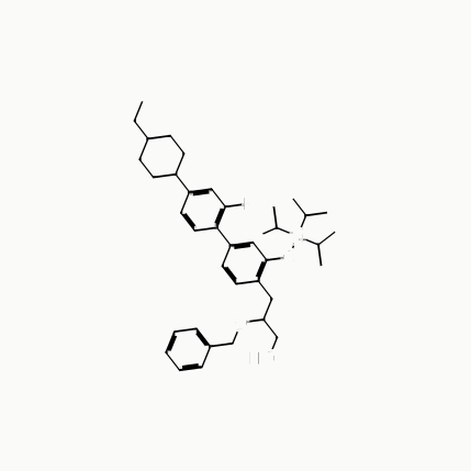 CCC1CCC(c2ccc(-c3ccc(CC(CO)OCc4ccccc4)c(O[Si](C(C)C)(C(C)C)C(C)C)c3)c(F)c2)CC1